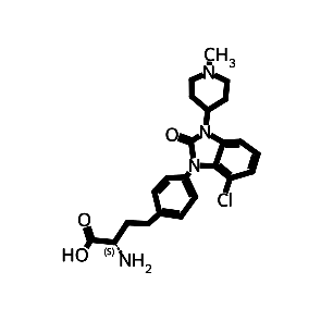 CN1CCC(n2c(=O)n(-c3ccc(CC[C@H](N)C(=O)O)cc3)c3c(Cl)cccc32)CC1